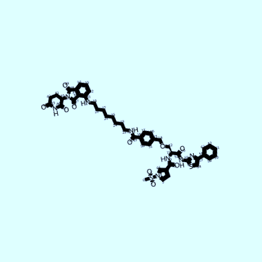 CS(=O)(=O)n1ccc(C(=O)N[C@@H](COCc2ccc(C(=O)NCCCCCCCCNc3cccc4c3C(=O)N(C3CCC(=O)NC3=O)C4=O)cc2)C(=O)Nc2nc(-c3ccccc3)cs2)c1